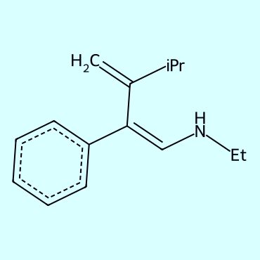 C=C(/C(=C\NCC)c1ccccc1)C(C)C